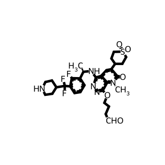 C[C@@H](Nc1nnc(OCCCC=O)c2c1cc(C1CCS(=O)(=O)CC1)c(=O)n2C)c1cccc(C(F)(F)C2CCNCC2)c1F